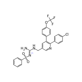 N/C(=N\S(=O)(=O)c1ccccc1)NCc1cnc(-c2ccc(Cl)cc2)c(-c2ccc(OC(F)(F)F)cc2)c1